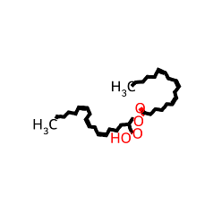 CCCCC/C=C\C/C=C\C/C=C\CCCCC(=O)OCC(CCC/C=C\C/C=C\C/C=C\CCCCC)C(=O)O